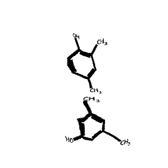 Cc1cc(C)cc(O)c1.Cc1ccc(O)c(C)c1